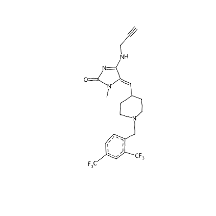 C#CCNC1=NC(=O)N(C)/C1=C\C1CCN(Cc2ccc(C(F)(F)F)cc2C(F)(F)F)CC1